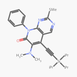 CSc1ncc2c(C#C[Si](C(C)C)(C(C)C)C(C)C)c(N(C)C)c(=O)n(-c3ccccc3)c2n1